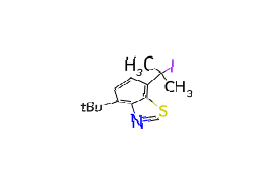 CC(C)(C)c1ccc(C(C)(C)I)c2scnc12